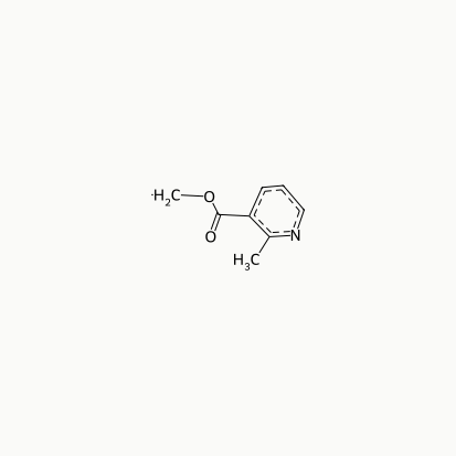 [CH2]OC(=O)c1cccnc1C